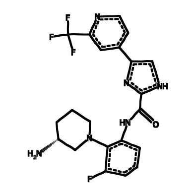 N[C@@H]1CCCN(c2c(F)cccc2NC(=O)c2nc(-c3ccnc(C(F)(F)F)c3)c[nH]2)C1